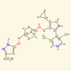 Cn1nc(C(=O)O)cc1OCC12CCC(OCc3c(-c4c(Cl)cncc4Cl)noc3C3CC3)(CC1)CC2